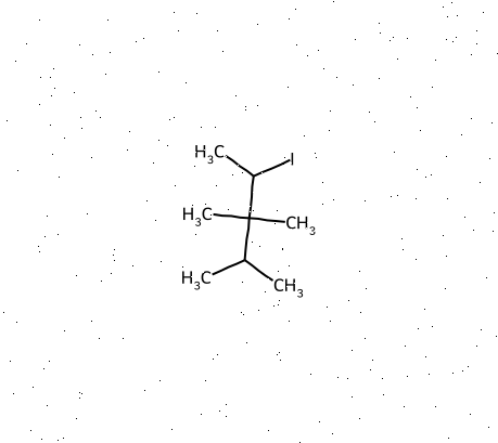 CC(C)C(C)(C)C(C)I